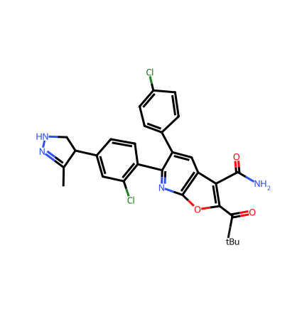 CC1=NNCC1c1ccc(-c2nc3oc(C(=O)C(C)(C)C)c(C(N)=O)c3cc2-c2ccc(Cl)cc2)c(Cl)c1